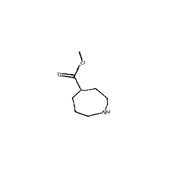 COC(=O)C1CCCNCC1